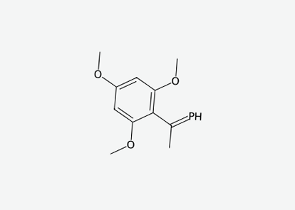 COc1cc(OC)c(C(C)=P)c(OC)c1